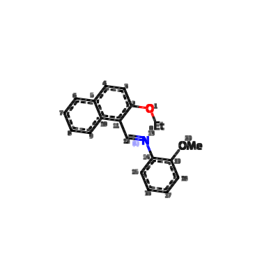 CCOc1ccc2ccccc2c1/C=N/c1ccccc1OC